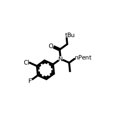 CCCCCC(C)N(C(=O)CC(C)(C)C)c1ccc(F)c(Cl)c1